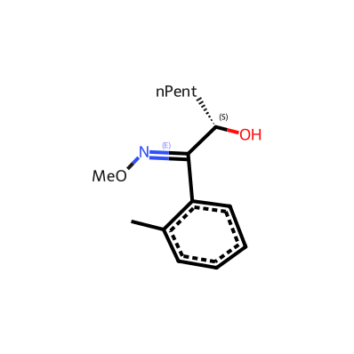 CCCCC[C@H](O)/C(=N/OC)c1ccccc1C